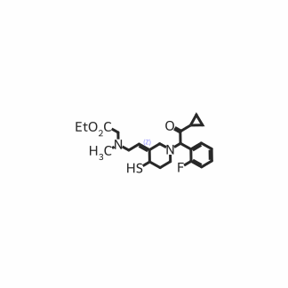 CCOC(=O)CN(C)C/C=C1/CN(C(C(=O)C2CC2)c2ccccc2F)CCC1S